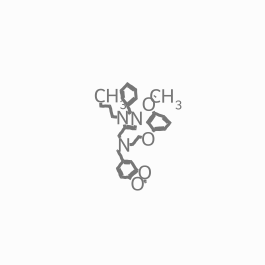 CCCCn1c(CN(CCOc2cccc(OC)c2)Cc2ccc3c(c2)OCO3)cnc1-c1ccccc1